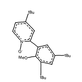 COc1c(-c2cc(C(C)(C)C)cc[n+]2[O-])cc(C(C)(C)C)cc1C(C)(C)C